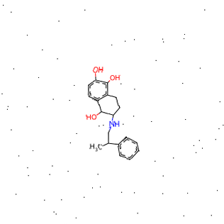 CC(CNC1CCc2c(ccc(O)c2O)C1O)c1ccccc1